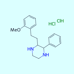 COc1ccccc1CCC1NCCNC1c1ccccc1.Cl.Cl